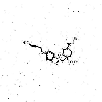 CC#CCOc1ccc(S(=O)(=O)CC2(C(=O)OCC)CCN(C(=O)OC(C)(C)C)CC2)cc1